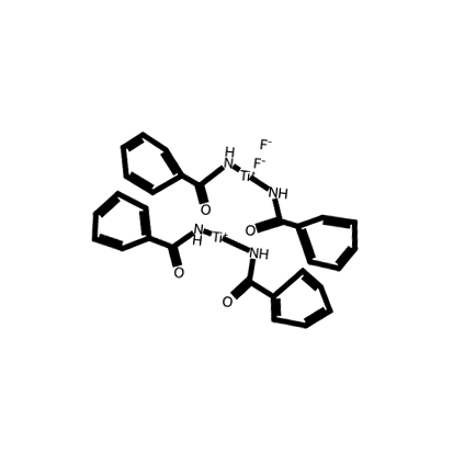 O=C([NH][Ti+][NH]C(=O)c1ccccc1)c1ccccc1.O=C([NH][Ti+][NH]C(=O)c1ccccc1)c1ccccc1.[F-].[F-]